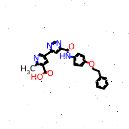 Cc1ncc(-c2cc(C(=O)Nc3ccc(OCCc4ccccc4)cc3)ncn2)cc1C(=O)O